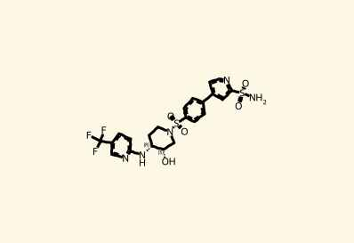 NS(=O)(=O)c1cc(-c2ccc(S(=O)(=O)N3CC[C@@H](Nc4ccc(C(F)(F)F)cn4)[C@@H](O)C3)cc2)ccn1